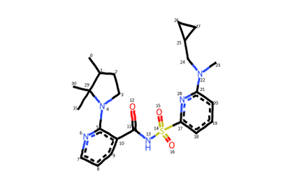 CC1CCN(c2ncccc2C(=O)NS(=O)(=O)c2cccc(N(C)CC3CC3)n2)C1(C)C